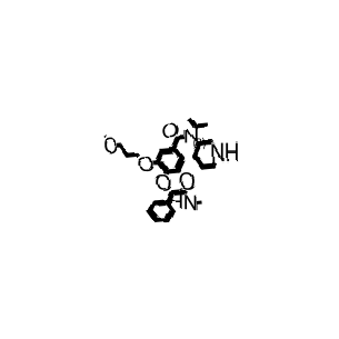 CNC(=O)C(Oc1ccc(C(=O)N(C(C)C)[C@@H]2CCCNC2)cc1OCCCOC)c1ccccc1